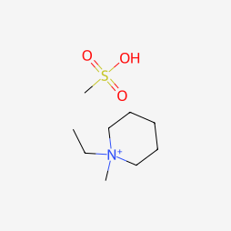 CC[N+]1(C)CCCCC1.CS(=O)(=O)O